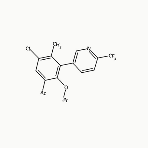 CC(=O)c1cc(Cl)c(C)c(-c2ccc(C(F)(F)F)nc2)c1OC(C)C